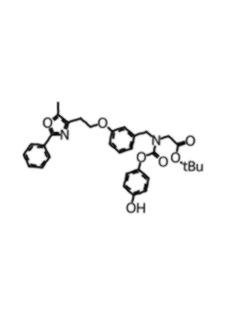 Cc1oc(-c2ccccc2)nc1CCOc1cccc(CN(CC(=O)OC(C)(C)C)C(=O)Oc2ccc(O)cc2)c1